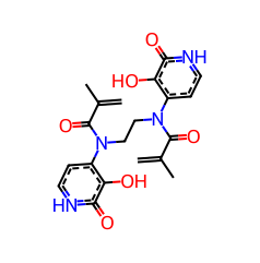 C=C(C)C(=O)N(CCN(C(=O)C(=C)C)c1cc[nH]c(=O)c1O)c1cc[nH]c(=O)c1O